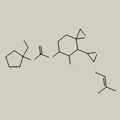 COC1C(OC(=O)NC2(CO)CCCC2)CCC2(CO2)C1C1O[C@@H]1CC=C(C)C